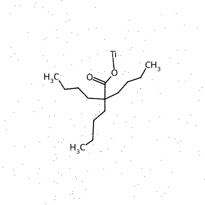 CCCCC(CCCC)(CCCC)C(=O)[O][Ti]